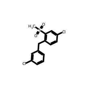 CS(=O)(=O)c1cc(Cl)ccc1Cc1[c]c(Cl)ccc1